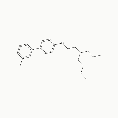 CCCCC(CCC)CCOc1ccc(-c2cccc(C)c2)cc1